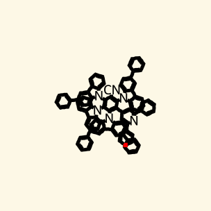 N#Cc1c(-n2c3ccccc3c3cc(-c4ccccc4)ccc32)c(-c2cc(-c3ccccc3)nc(-c3ccccc3)c2)c(-n2c3ccccc3c3cc(-c4ccccc4)ccc32)c(-n2c3ccccc3c3cc(-c4ccccc4)ccc32)c1-n1c2ccccc2c2cc(-c3ccccc3)ccc21